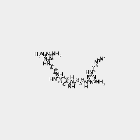 [N-]=[N+]=NCCCNc1nc(N)nc(NCCCCNC(=N)c2ccc(C(=N)NCCCCNc3nc(N)nc(N)n3)cc2)n1